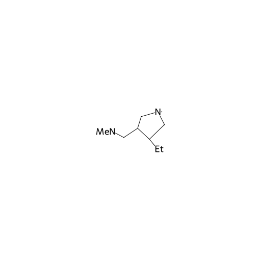 CCC1C[N]CC1CNC